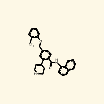 O=C(Nc1cccc2ccccc12)c1ccc(COc2ccccc2C(F)(F)F)cc1C1=CCNCC1